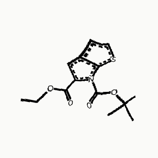 CCOC(=O)c1cc2ccsc2n1C(=O)OC(C)(C)C